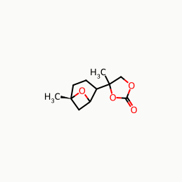 CC1(C2CC[C@@]3(C)CC2O3)COC(=O)O1